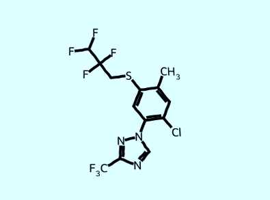 Cc1cc(Cl)c(-n2cnc(C(F)(F)F)n2)cc1SCC(F)(F)C(F)F